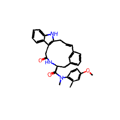 COc1ccc(N(C)C(=O)C2Cc3cccc(c3)/C=C/Cc3[nH]c4ccccc4c3CC(=O)N2)c(C)c1